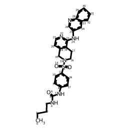 CCCCNC(=O)Nc1ccc(S(=O)(=O)N2CCc3c(ccnc3Nc3cnc4ccccc4c3)C2)cc1